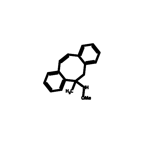 CONC1(C)Cc2ccccc2C=Cc2ccccc21